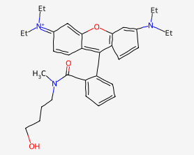 CCN(CC)c1ccc2c(-c3ccccc3C(=O)N(C)CCCCO)c3ccc(=[N+](CC)CC)cc-3oc2c1